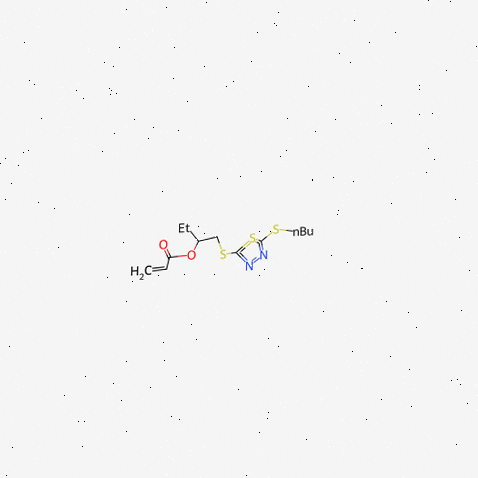 C=CC(=O)OC(CC)CSc1nnc(SCCCC)s1